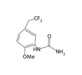 COc1ccc(CC(F)(F)F)cc1NC(N)=O